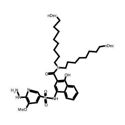 CCCCCCCCCCCCCCCCCCN(CCCCCCCCCCCCCCCCCC)C(=O)c1cc(NS(=O)(=O)c2cnc(NN)c(OC)c2)c2ccccc2c1O